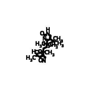 CC(C)c1oncc1C(C)(C)CCC(C)(C)c1nc(=O)[nH]cc1C(C)(C)C